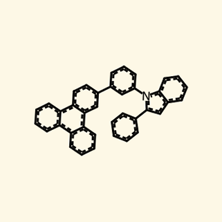 c1ccc(-c2cc3ccccc3n2-c2cccc(-c3ccc4c5ccccc5c5ccccc5c4c3)c2)cc1